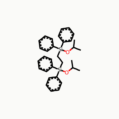 CC(C)O[Si](CC[Si](OC(C)C)(c1ccccc1)c1ccccc1)(c1ccccc1)c1ccccc1